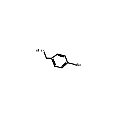 CCCCCCCc1ccc(CCCC)cc1